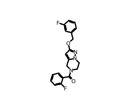 O=C(c1ccccc1F)N1CCn2nc(OCc3cccc(F)c3)cc2C1